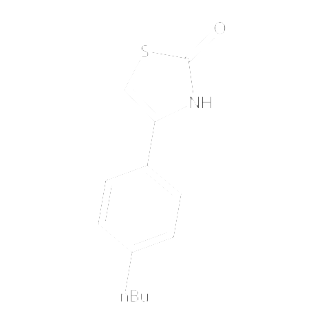 CCCCc1ccc(-c2csc(=O)[nH]2)cc1